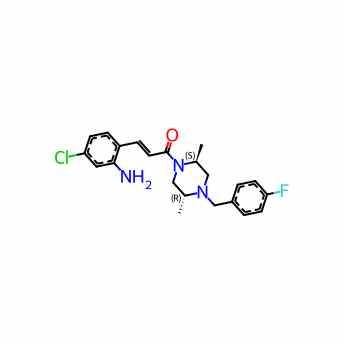 C[C@@H]1CN(C(=O)C=Cc2ccc(Cl)cc2N)[C@@H](C)CN1Cc1ccc(F)cc1